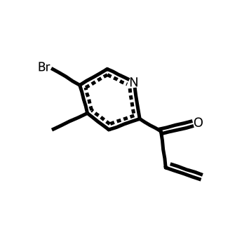 C=CC(=O)c1cc(C)c(Br)cn1